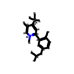 Cc1ccc(CC(C)C)cc1-c1cc([Si](C)(C)C)c(C)c[n+]1C